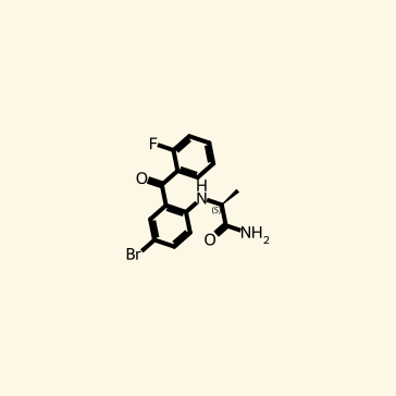 C[C@H](Nc1ccc(Br)cc1C(=O)c1ccccc1F)C(N)=O